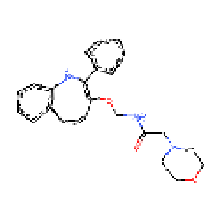 O=C(CN1CCOCC1)NCOC1=C(c2ccccc2)Nc2ccccc2C=C1